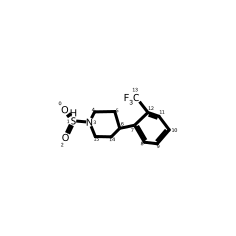 O=[SH](=O)N1CCC(c2ccccc2C(F)(F)F)CC1